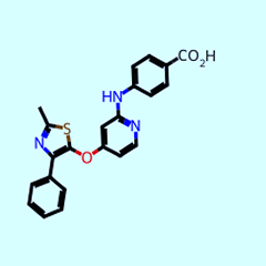 Cc1nc(-c2ccccc2)c(Oc2ccnc(Nc3ccc(C(=O)O)cc3)c2)s1